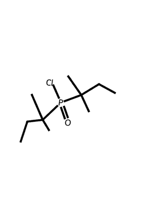 CCC(C)(C)P(=O)(Cl)C(C)(C)CC